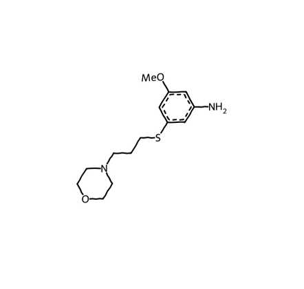 COc1cc(N)cc(SCCCN2CCOCC2)c1